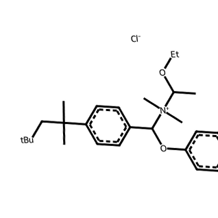 CCOC(C)[N+](C)(C)C(Oc1ccccc1)c1ccc(C(C)(C)CC(C)(C)C)cc1.[Cl-]